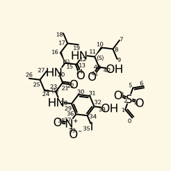 C=CS(=O)(=O)C=C.CC(C)C[C@H](NC(=O)[C@H](CC(C)C)NC(=O)[C@H](CC(C)C)Nc1ccc(O)c(I)c1[N+](=O)[O-])C(=O)O